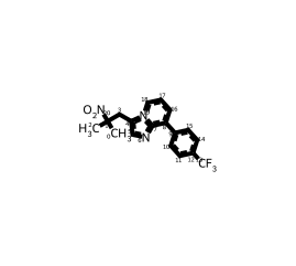 CC(C)(Cc1cnc2c(-c3ccc(C(F)(F)F)cc3)cccn12)[N+](=O)[O-]